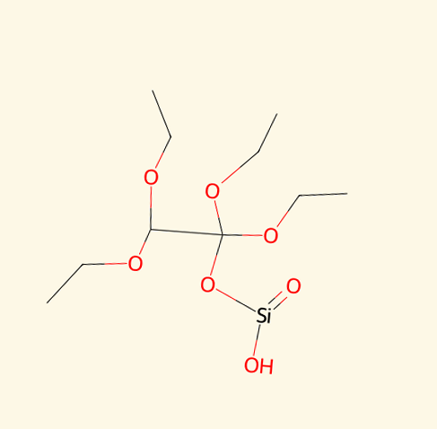 CCOC(OCC)C(OCC)(OCC)O[Si](=O)O